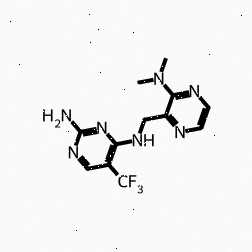 CN(C)c1nccnc1CNc1nc(N)ncc1C(F)(F)F